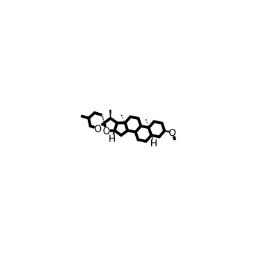 CO[C@@H]1CC[C@]2(C)C3CC[C@@]4(C)C(C[C@@H]5O[C@]6(CCC(C)CO6)[C@@H](C)C54)C3CC[C@@H]2C1